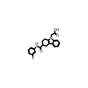 O=C(O)Cn1c2c(c3ccccc31)CC(C(=O)Nc1cccc(F)c1)CC2